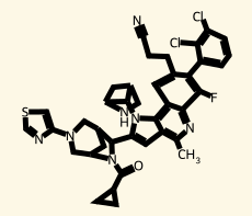 Cc1nc2c(F)c(-c3cccc(Cl)c3Cl)c(CCC#N)cc2c2c1cc(C1C3CC(CN(c4cscn4)C3)N1C(=O)C1CC1)n2C1C2CNC1C2